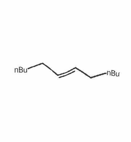 [CH2]CCCCC=CCCCCC